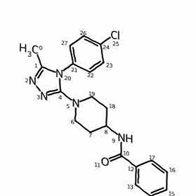 Cc1nnc(N2CCC(NC(=O)c3ccccc3)CC2)n1-c1ccc(Cl)cc1